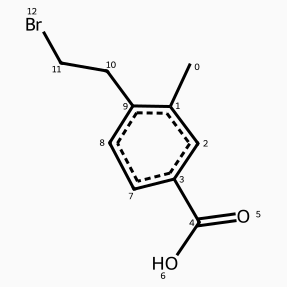 Cc1cc(C(=O)O)ccc1CCBr